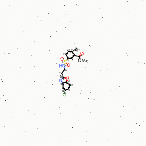 COC(=O)c1cc(S(=O)(=O)NCCc2nc3cc(Cl)ccc3o2)ccc1C(C)C